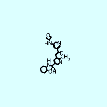 Cc1ncc(C(=O)N[C@H]2CCCC[C@@H]2O)cc1/C=C(\F)c1cncc(NC2COC2)c1